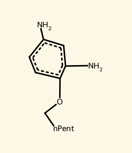 CCCCCCOc1ccc(N)cc1N